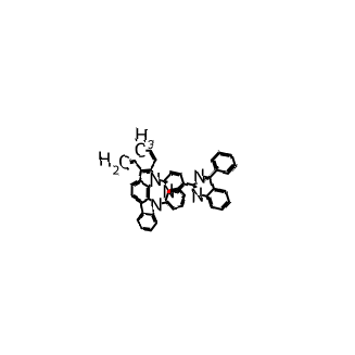 C=Cc1c(/C=C\C)n(-c2ccc(-c3nc(-c4ccccc4)c4ccccc4n3)cn2)c2c1ccc1c3ccccc3n(-c3ccccc3)c12